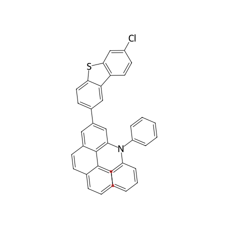 Clc1ccc2c(c1)sc1ccc(-c3cc(N(c4ccccc4)c4ccccc4)c4c(ccc5ccccc54)c3)cc12